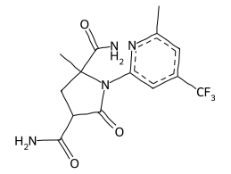 Cc1cc(C(F)(F)F)cc(N2C(=O)C(C(N)=O)CC2(C)C(N)=O)n1